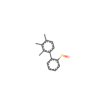 Cc1ccc(-c2ccccc2P=O)c(C)c1C